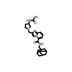 CC(C)C(=O)NC1CCN(Cc2cn3c(C(=O)NCC45CC6CC(CC(C6)C4)C5)cccc3n2)C1